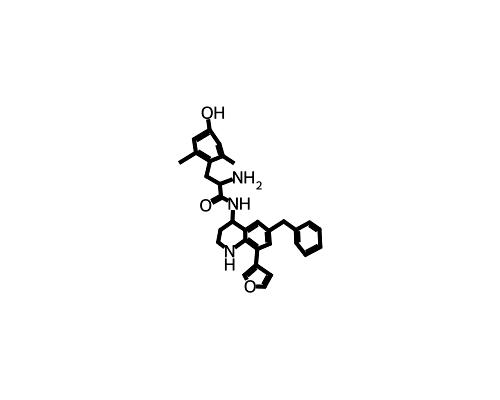 Cc1cc(O)cc(C)c1CC(N)C(=O)NC1CCNc2c(-c3ccoc3)cc(Cc3ccccc3)cc21